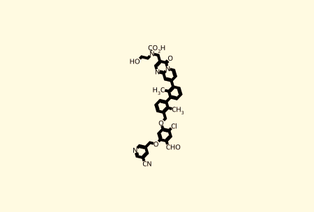 Cc1c(COc2cc(OCc3cncc(C#N)c3)c(C=O)cc2Cl)cccc1-c1cccc(-c2ccn3c(=O)c(CN(CCO)C(=O)O)cnc3c2)c1C